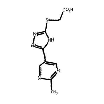 Cc1ncc(-c2nnc(SCC(=O)O)[nH]2)cn1